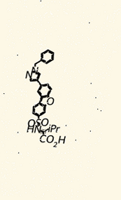 CC(C)[C@H](NS(=O)(=O)c1ccc2c(c1)oc1ccc(-c3cnn(Cc4ccccc4)c3)cc12)C(=O)O